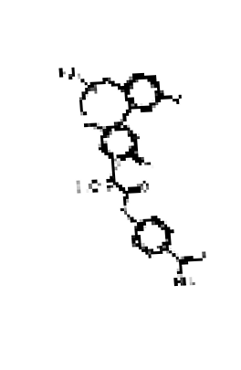 C[C@@H](C(=O)Nc1ccc(C(N)=O)cc1)n1cc2c(cc1=O)-c1cc(Cl)ccc1C[C@@H](C(F)(F)F)CO2